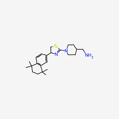 CC1(C)CCC(C)(C)c2cc(C3CSC(N4CCC(CN)CC4)=N3)ccc21